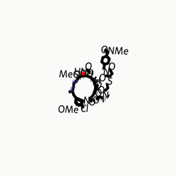 CNC(=O)C1CCC(CN2C(=O)CC(SCCC(=O)N(C)[C@@H](C)C(=O)O[C@H]3CC(=O)N(C)c4cc(cc(OC)c4Cl)C/C(C)=C/C=C/[C@@H](OC)[C@@]4(O)CC(OC(=O)N4)[C@@H](C)[C@@H]4OC34C)C2=O)CC1